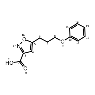 O=C(O)c1cc(CCCOc2ccccc2)on1